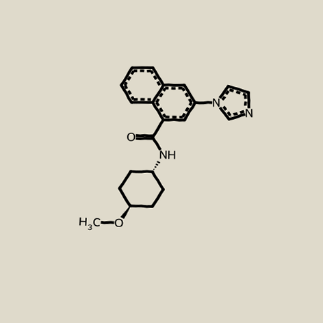 CO[C@H]1CC[C@H](NC(=O)c2cc(-n3ccnc3)cc3ccccc23)CC1